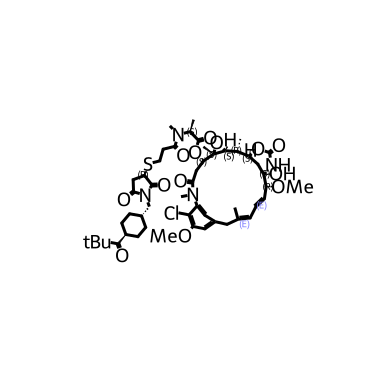 COc1cc2cc(c1Cl)N(C)C(=O)C[C@H](OC(=O)[C@H](C)N(C)C(=O)CCS[C@@H]1CC(=O)N(C[C@H]3CC[C@H](C(=O)C(C)(C)C)CC3)C1=O)[C@]1(C)O[C@H]1[C@H](C)[C@@H]1C[C@@](O)(NC(=O)O1)[C@H](OC)/C=C/C=C(\C)C2